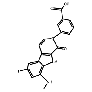 CNc1cc(F)cc2c1[nH]c1c(=O)n(-c3cccc(C(=O)O)c3)ccc12